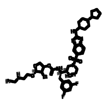 C=C(N[C@@H](Cc1cc(F)cc(F)c1)[C@H](O)CN(CC(C)C)S(=O)(=O)c1ccc2nc(NC3CCN(C4CCCC4)CC3)sc2c1)OC1CO[C@@H](OCCNCC(C)C)C1CC